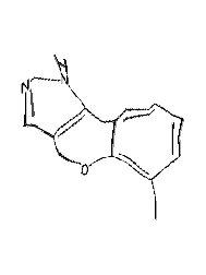 Cc1cccc2c1oc1cn[nH]c12